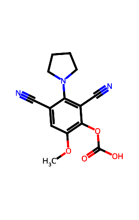 COc1cc(C#N)c(N2CCCC2)c(C#N)c1OC(=O)O